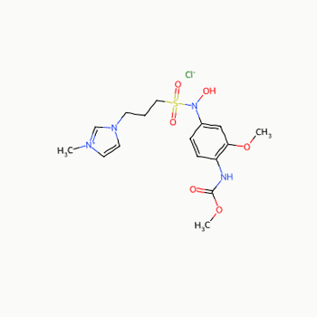 COC(=O)Nc1ccc(N(O)S(=O)(=O)CCCn2cc[n+](C)c2)cc1OC.[Cl-]